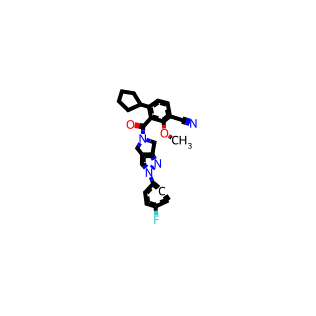 COc1c(C#N)ccc(C2CCCC2)c1C(=O)N1Cc2cn(-c3ccc(F)cc3)nc2C1